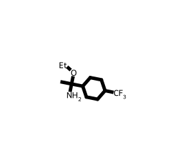 CCOC(C)(N)C1CCC(C(F)(F)F)CC1